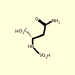 NC(=O)C[C@H](NS(=O)(=O)O)C(=O)O